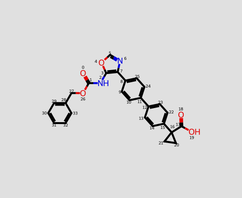 O=C(Nc1ocnc1-c1ccc(-c2ccc(C3(C(=O)O)CC3)cc2)cc1)OCc1ccccc1